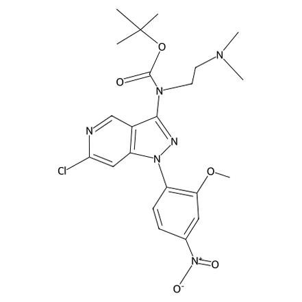 COc1cc([N+](=O)[O-])ccc1-n1nc(N(CCN(C)C)C(=O)OC(C)(C)C)c2cnc(Cl)cc21